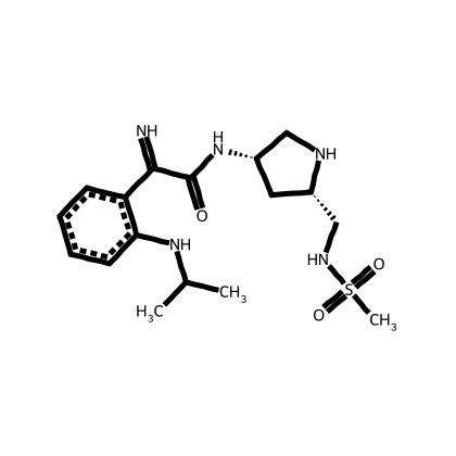 CC(C)Nc1ccccc1C(=N)C(=O)N[C@@H]1CN[C@H](CNS(C)(=O)=O)C1